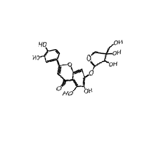 O=c1cc(-c2ccc(O)c(O)c2)oc2cc(OC3OCC(O)(CO)C3O)c(O)c(O)c12